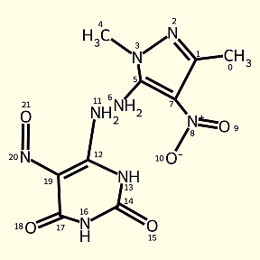 Cc1nn(C)c(N)c1[N+](=O)[O-].Nc1[nH]c(=O)[nH]c(=O)c1N=O